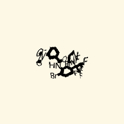 O=C(Nc1c(Br)ccc(C(n2cccn2)(C(F)(F)F)C(F)(F)F)c1Br)c1cccc([N+](=O)[O-])c1